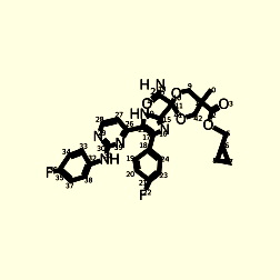 CC1(C(=O)OCC2CC2)COC(C(N)=O)(c2nc(-c3ccc(F)cc3)c(-c3ccnc(Nc4ccc(F)cc4)n3)[nH]2)OC1